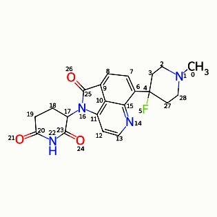 CN1CCC(F)(c2ccc3c4c(ccnc24)N(C2CCC(=O)NC2=O)C3=O)CC1